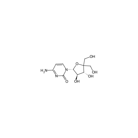 Nc1ccn([C@@H]2OC(CO)(CO)[C@H](O)[C@H]2O)c(=O)n1